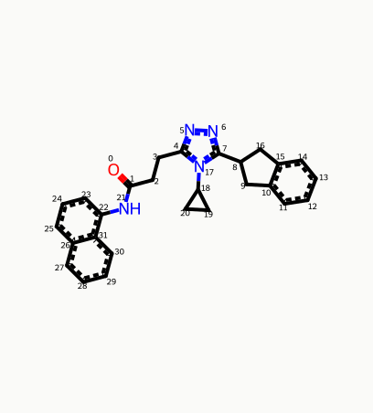 O=C(CCc1nnc(C2Cc3ccccc3C2)n1C1CC1)Nc1cccc2ccccc12